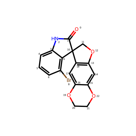 O=C1Nc2cccc(Br)c2C12COc1cc3c(cc12)OCCO3